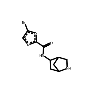 O=C(NC1CC2CC1CN2)c1ncc(Br)s1